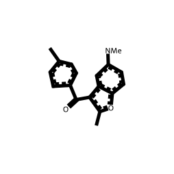 CNc1ccc2oc(C)c(C(=O)c3ccc(C)cc3)c2c1